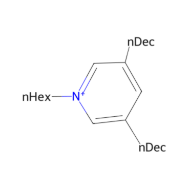 CCCCCCCCCCc1cc(CCCCCCCCCC)c[n+](CCCCCC)c1